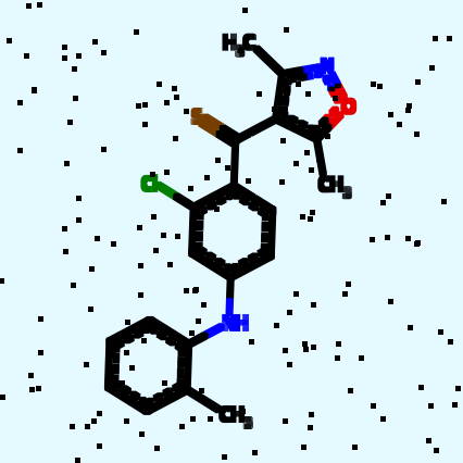 Cc1ccccc1Nc1ccc(C(=S)c2c(C)noc2C)c(Cl)c1